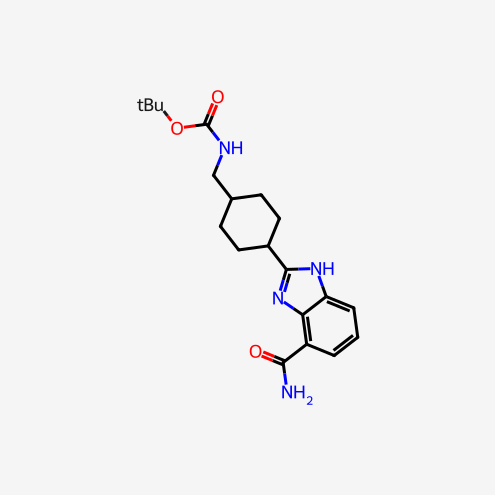 CC(C)(C)OC(=O)NCC1CCC(c2nc3c(C(N)=O)cccc3[nH]2)CC1